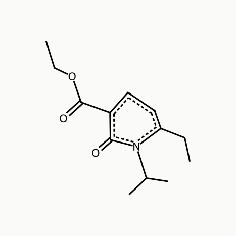 CCOC(=O)c1ccc(CC)n(C(C)C)c1=O